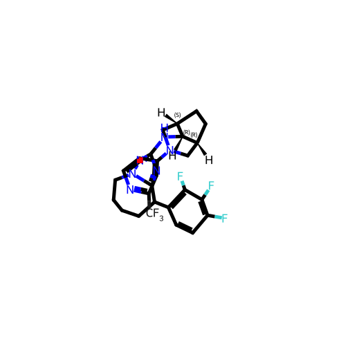 Fc1ccc(C2CCCCn3nc(N[C@H]4[C@@H]5CC[C@H]4CN(c4ccnc(C(F)(F)F)c4)C5)nc32)c(F)c1F